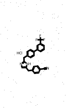 Cl.N#Cc1ccc(Cc2cnc(Cc3ccc(-c4cccc(C(F)(F)F)c4)cc3)[nH]2)cc1